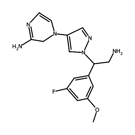 COc1cc(F)cc(C(CN)n2cc(N3C=CN=C(N)C3)cn2)c1